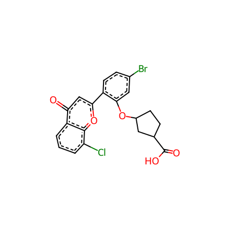 O=C(O)C1CCC(Oc2cc(Br)ccc2-c2cc(=O)c3cccc(Cl)c3o2)C1